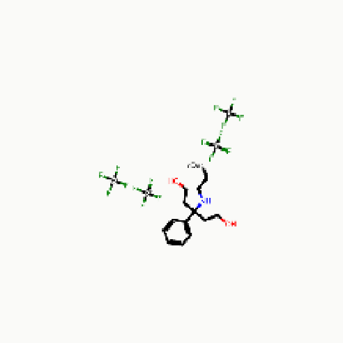 CCCCCCCCCCCCNC(CCO)(CCO)c1ccccc1.F[B-](F)(F)F.F[B-](F)(F)F.F[B-](F)(F)F.F[B-](F)(F)F